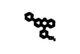 Cc1cccc(N2c3ccccc3Oc3cc(-c4cc[c]cc4)ccc32)c1